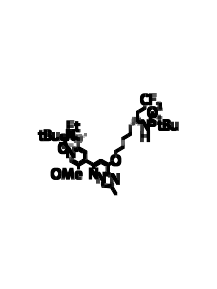 CCN([C@H](C)c1cc(-c2cc(OCCCCC[C@H](CCC(F)(F)F)N[S+]([O-])C(C)(C)C)c3nc(C)cn3n2)c(OC)cn1)[S+]([O-])C(C)(C)C